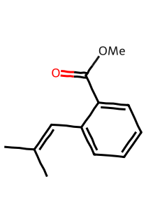 COC(=O)c1ccccc1C=C(C)C